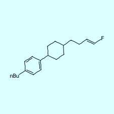 CCCCc1ccc(C2CCC(CCC=CF)CC2)cc1